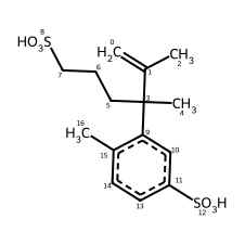 C=C(C)C(C)(CCCS(=O)(=O)O)c1cc(S(=O)(=O)O)ccc1C